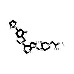 CCN(Cc1ccc(-n2cccn2)cc1F)c1ncnc2c1ccn2C[C@@H]1CCN(CC(N)O)C[C@H]1O